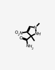 CN1C=C([N+](=O)[O-])C(C)(C(N)=O)N1